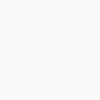 CCCCCCCCCCCCNC(=O)c1ccc(CN(C(=O)C(=O)O)C(CC)C2CCNCC2)cc1